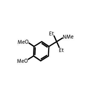 CCC(CC)(NC)c1ccc(OC)c(OC)c1